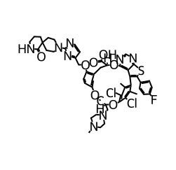 Cc1c(Cl)c2c(Cl)c(C)c1-c1c(-c3ccc(F)cc3)sc3ncnc(c13)O[C@@H](C(=O)O)Cc1cc(ccc1OCc1ccnc(N3CCC4(CCCNC4=O)CC3)n1)OC[C@@H](CN1CCN(C)CC1)O2